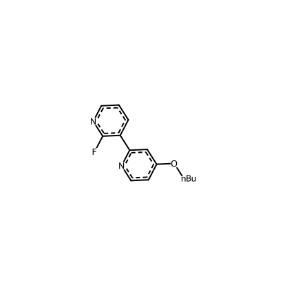 CCCCOc1ccnc(-c2cccnc2F)c1